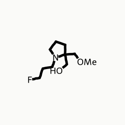 COCC1(CO)CCCN1CCCF